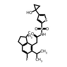 CC(C)c1c(F)cc2c(c1CC(=O)NS(=O)(=O)c1cc(C3(O)CC3)cs1)C(C)CC2